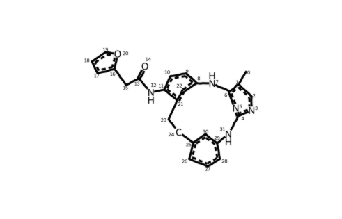 Cc1cnc2nc1Nc1ccc(NC(=O)Cc3ccco3)c(c1)CCc1cccc(c1)N2